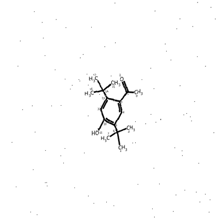 CC(=O)c1cc(C(C)(C)C)c(O)cc1C(C)(C)C